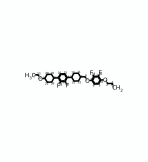 C=CCOc1ccc(OCC2CCC(c3ccc(C4CCC(OCC)CC4)c(F)c3F)CC2)c(F)c1F